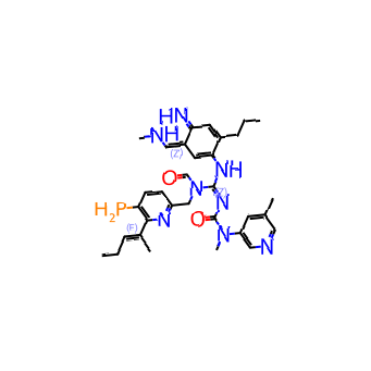 CC/C=C(\C)c1nc(CN(C=O)/C(=N\C(=O)N(C)c2cncc(C)c2)NC2=C/C(=C/NC)C(=N)C=C2CCC)ccc1P